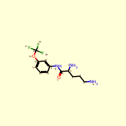 NCCCC(N)C(=O)Nc1cccc(OC(F)(F)F)c1